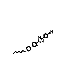 CCCCCCC[C@H]1CC[C@H](c2ccc(-c3cnc(-c4ccc(C#N)cc4)nc3)cc2)CC1